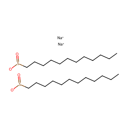 CCCCCCCCCCCCS(=O)[O-].CCCCCCCCCCCCS(=O)[O-].[Na+].[Na+]